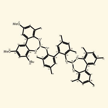 COc1cc(C)c2op(Oc3c(C)cc(C)cc3-c3cc(C)cc(C)c3Op3oc4c(C)cc(C)cc4c4cc(C)cc(C)c4o3)oc3c(C(C)(C)C)cc(OC)cc3c2c1